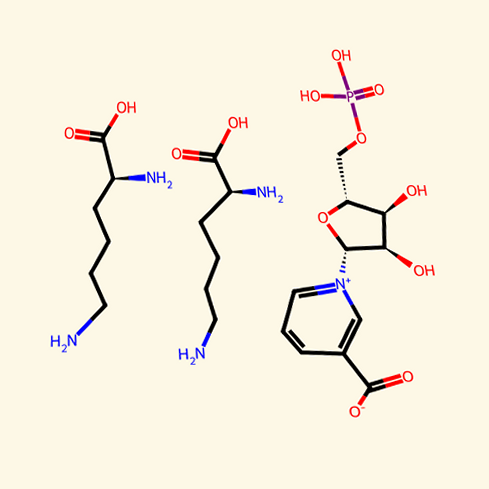 NCCCC[C@H](N)C(=O)O.NCCCC[C@H](N)C(=O)O.O=C([O-])c1ccc[n+]([C@@H]2O[C@H](COP(=O)(O)O)[C@@H](O)[C@H]2O)c1